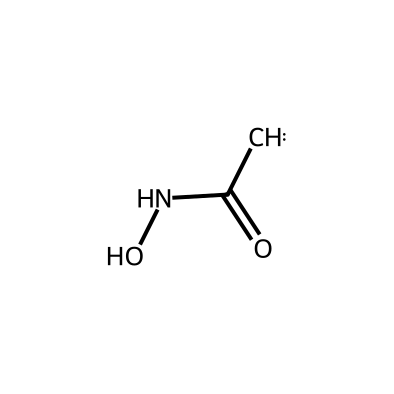 [CH]C(=O)NO